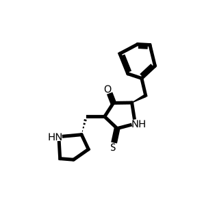 O=C1C(C[C@@H]2CCCN2)C(=S)N[C@@H]1Cc1ccccc1